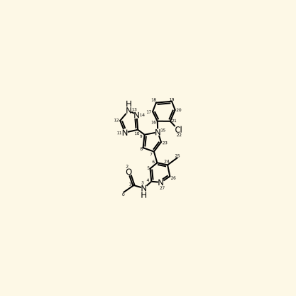 CC(=O)Nc1cc(-c2cc(-c3nc[nH]n3)n(-c3ccccc3Cl)c2)c(C)cn1